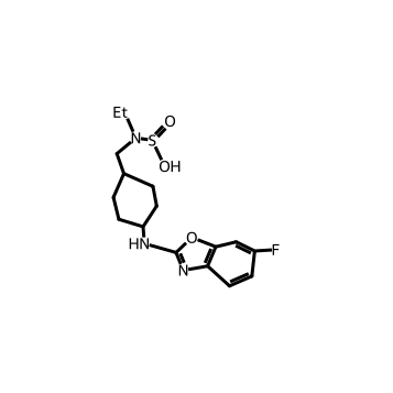 CCN(CC1CCC(Nc2nc3ccc(F)cc3o2)CC1)S(=O)O